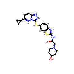 O=C(CN1CCC(O)CC1)Nc1nc2ccc(Sc3nnc4ccc(C5CC5)nn34)cc2s1